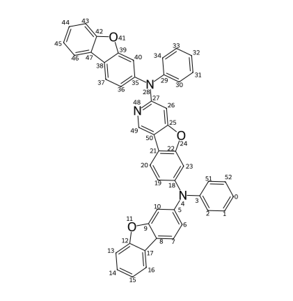 c1ccc(N(c2ccc3c(c2)oc2ccccc23)c2ccc3c(c2)oc2cc(N(c4ccccc4)c4ccc5c(c4)oc4ccccc45)ncc23)cc1